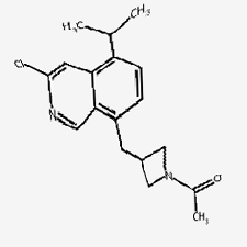 CC(=O)N1CC(Cc2ccc(C(C)C)c3cc(Cl)ncc23)C1